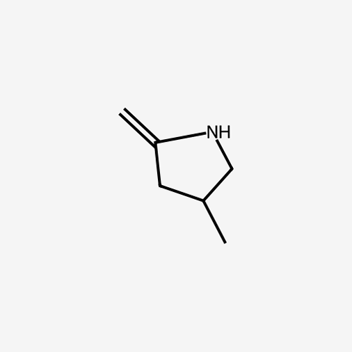 C=C1CC(C)CN1